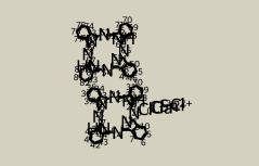 [Cl][Ga+2].[Cl][Sn+2][Cl].c1ccc2c(c1)-c1nc-2nc2[nH]c(nc3nc(nc4[nH]c(n1)c1ccccc41)-c1ccccc1-3)c1ccccc21.c1ccc2c(c1)-c1nc-2nc2[nH]c(nc3nc(nc4[nH]c(n1)c1ccccc41)-c1ccccc1-3)c1ccccc21